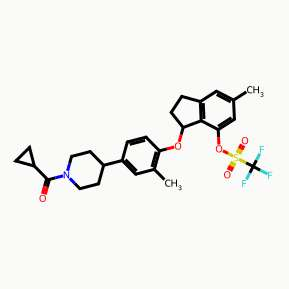 Cc1cc2c(c(OS(=O)(=O)C(F)(F)F)c1)C(Oc1ccc(C3CCN(C(=O)C4CC4)CC3)cc1C)CC2